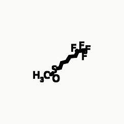 CC(=O)SCCCCCC(F)C(F)(F)F